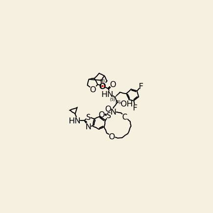 O=C(N[C@@H](Cc1cc(F)cc(F)c1)[C@H](O)CN1CCCCCCCOCc2cc3nc(NC4CC4)sc3cc2S1(=O)=O)O[C@@H]1C2COC3OCC1C3C2